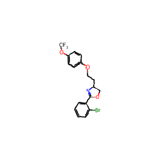 FC(F)(F)Oc1ccc(OCCC2COC(c3ccccc3Br)=N2)cc1